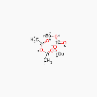 CC(=O)OC(C)=O.CCCC[O][Ti](=[O])[O]CCCC